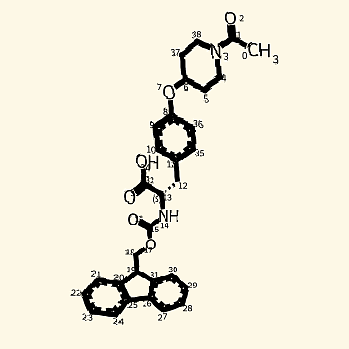 CC(=O)N1CCC(Oc2ccc(C[C@H](NC(=O)OCC3c4ccccc4-c4ccccc43)C(=O)O)cc2)CC1